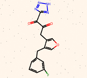 O=C(Cc1cocc1Cc1cccc(F)c1)C(=O)c1nn[nH]n1